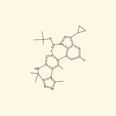 Cc1c(-c2cc(F)cc3c(C4CC4)cn(C(=O)OC(C)(C)C)c23)c(F)cc2c1-n1c(C)nnc1C(C)(C)N2